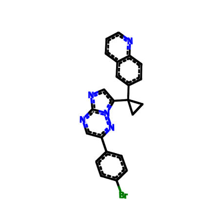 Brc1ccc(-c2cnc3ncc(C4(c5ccc6ncccc6c5)CC4)n3n2)cc1